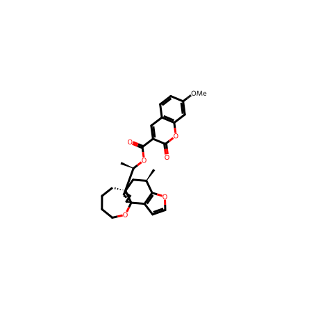 COc1ccc2cc(C(=O)O[C@H](C)C3=CC[C@@]45OCCCC[C@@]34C[C@@H](C)c3occc35)c(=O)oc2c1